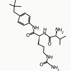 CC(C)[C@H](N)C(=O)N[C@@H](CCCNC(N)=O)C(=O)Nc1ccc(CC(C)(C)C)cc1